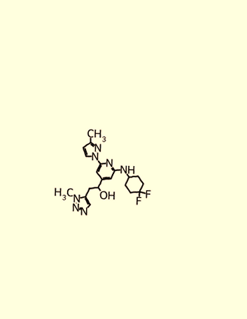 Cc1ccn(-c2cc(C(O)Cc3cnnn3C)cc(NC3CCC(F)(F)CC3)n2)n1